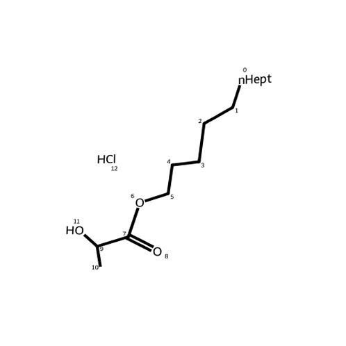 CCCCCCCCCCCCOC(=O)C(C)O.Cl